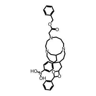 O=C(CN1CCCN2CCC(CC3OC(c4ccccc4)O3)CCCN(CC1)CC(Cc1ccc(N(O)O)cc1)C2)OCc1ccccc1